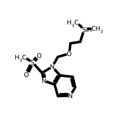 C[SiH](C)CCOCn1c(S(C)(=O)=O)nc2cnccc21